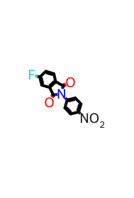 O=C1c2ccc(F)cc2C(=O)N1c1ccc([N+](=O)[O-])cc1